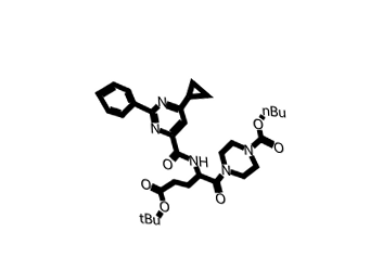 CCCCOC(=O)N1CCN(C(=O)C(CCC(=O)OC(C)(C)C)NC(=O)c2cc(C3CC3)nc(-c3ccccc3)n2)CC1